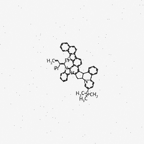 C=C/C(=C(\CC)n1c2ccccc2[n+]2c3c(c4ccc5c6ccc7ccccc7c6oc5c4c12)C1c2ccccc2-c2ccc([Si](C)(C)C)c[n+]2C1C3)C(C)C